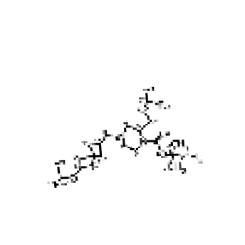 CC(C)(C)OC(=O)N1CCN(CC2CC3(C2)CC(OC(F)F)C3)C[C@H]1COC(F)F